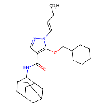 O=C(O)C/C=C/n1ncc(C(=O)NC2C3CC4CC(C3)CC2C4)c1OCC1CCCCC1